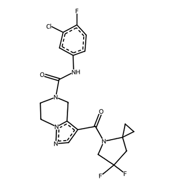 O=C(Nc1ccc(F)c(Cl)c1)N1CCn2ncc(C(=O)N3CC(F)(F)CC34CC4)c2C1